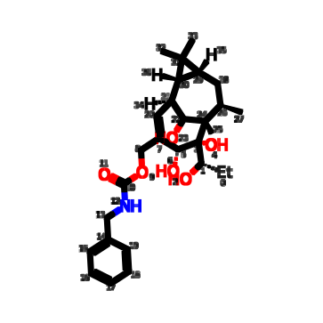 CC[C@H](O)[C@@]1(O)[C@H](O)C(COC(=O)NCc2ccccc2)=C[C@@H]2C(O)[C@]1(C)[C@H](C)C[C@@H]1[C@H]2C1(C)C